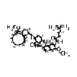 CCOc1cc2ncc(C#N)c(Nc3ccc(OCC4CCC(C(=O)OC)C5(CCCCCCCCCC5)N4)c(Cl)c3)c2cc1NC(=O)CCCN(C)C